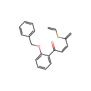 C=CSC(=C)/C=C\C(=O)c1ccccc1OCc1ccccc1